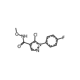 CONC(=O)c1cnn(-c2ccc(F)cc2)c1Cl